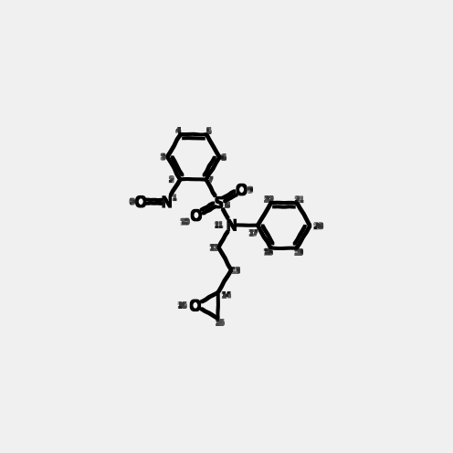 O=Nc1ccccc1S(=O)(=O)N(CCC1CO1)c1ccccc1